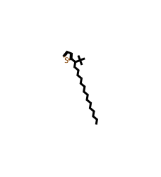 CCCCCCCCCCCCCCCC(c1cccs1)C(C)(C)C